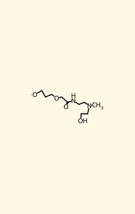 CN(CCO)CCNC(=O)COCCC[O]